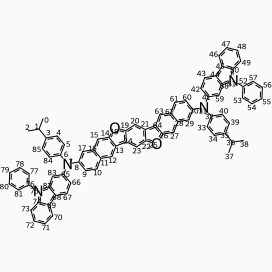 CC(C)c1ccc(N(c2ccc3cc4c(cc3c2)oc2cc3c(cc24)oc2cc4cc(N(c5ccc(C(C)C)cc5)c5ccc6c7ccccc7n(-c7ccccc7)c6c5)ccc4cc23)c2ccc3c4ccccc4n(-c4ccccc4)c3c2)cc1